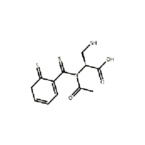 CC(=O)N(C(=S)C1=CC=CCC1=S)[C@@H](CS)C(=O)O